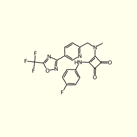 CN(Cc1ccc(-c2noc(C(F)(F)F)n2)cn1)c1c(Nc2ccc(F)cc2)c(=O)c1=O